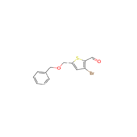 O=Cc1sc(COCc2ccccc2)cc1Br